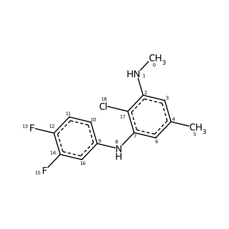 CNc1cc(C)cc(Nc2ccc(F)c(F)c2)c1Cl